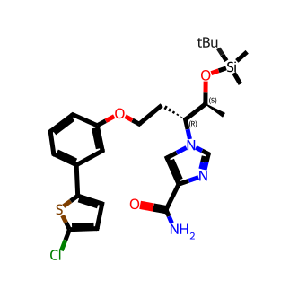 C[C@H](O[Si](C)(C)C(C)(C)C)[C@@H](CCOc1cccc(-c2ccc(Cl)s2)c1)n1cnc(C(N)=O)c1